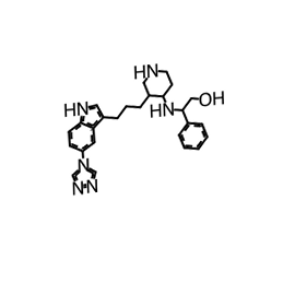 OCC(NC1CCNCC1CCCc1c[nH]c2ccc(-n3cnnc3)cc12)c1ccccc1